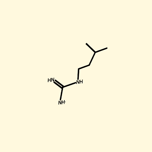 CC(C)CCNC([NH])=N